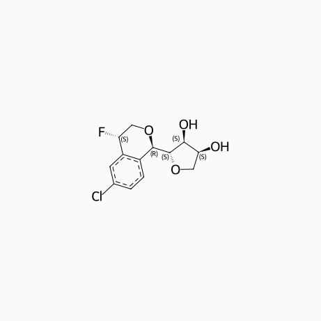 O[C@@H]1[C@@H]([C@@H]2OC[C@@H](F)c3cc(Cl)ccc32)OC[C@@H]1O